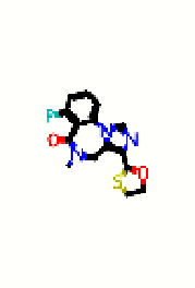 CN1Cc2c(C3OCCS3)ncn2-c2cccc(F)c2C1=O